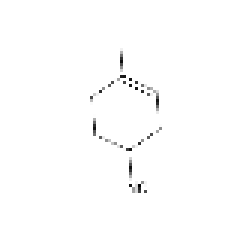 CC1=CCC(N=O)CC1